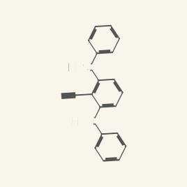 C#Cc1c([SiH2]c2ccccc2)cccc1[SiH2]c1ccccc1